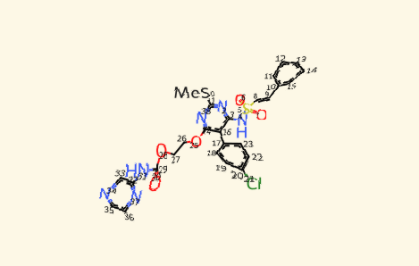 CSc1nc(NS(=O)(=O)C=Cc2ccccc2)c(-c2ccc(Cl)cc2)c(OCCOC(=O)Nc2cnccn2)n1